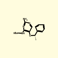 CCCCNc1nc(N)ncc1O[C@@H](C)c1ccccc1